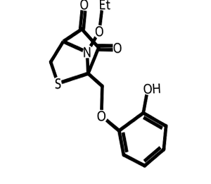 CCON1C2CSC1(COc1ccccc1O)C(=O)C2=O